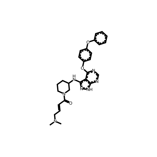 CN(C)C/C=C/C(=O)N1CCCC(Nc2n[nH]c3ncnc(Oc4ccc(Oc5ccccc5)cc4)c23)C1